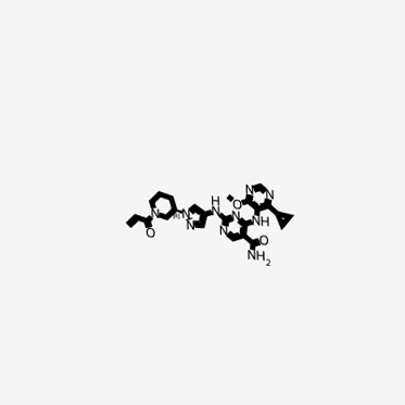 C=CC(=O)N1CCC[C@@H](n2cc(Nc3ncc(C(N)=O)c(Nc4c(OC)ncnc4C4CC4)n3)cn2)C1